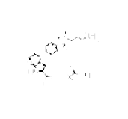 CN(CCCN)S(=O)(=O)c1ccc(-c2ccnc3[nH]c(C(F)F)cc23)cc1.O=C(O)C(F)(F)F